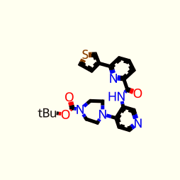 CC(C)(C)OC(=O)N1CCN(c2ccncc2NC(=O)c2cccc(-c3ccsc3)n2)CC1